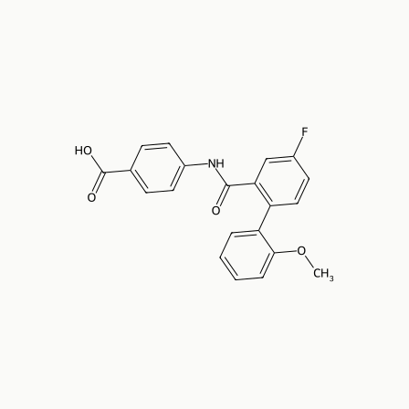 COc1ccccc1-c1ccc(F)cc1C(=O)Nc1ccc(C(=O)O)cc1